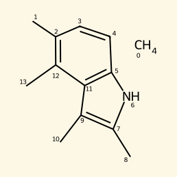 C.Cc1ccc2[nH]c(C)c(C)c2c1C